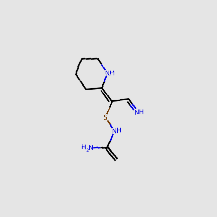 C=C(N)NS/C(C=N)=C1\CCCCN1